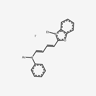 CC[n+]1c(C=CC=CN(C(C)=O)c2ccccc2)oc2ccccc21.[I-]